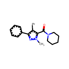 CC(C)c1c(-c2ccccc2)nn(C)c1C(=O)N1CCCCC1